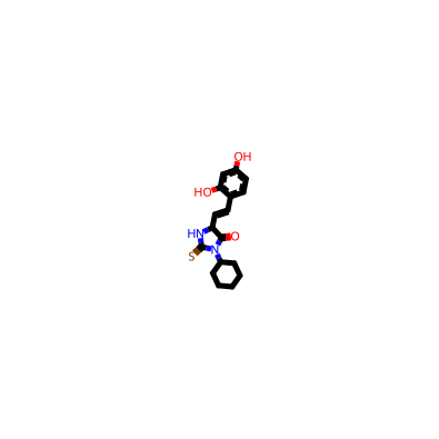 O=C1C(C=Cc2ccc(O)cc2O)NC(=S)N1C1CCCCC1